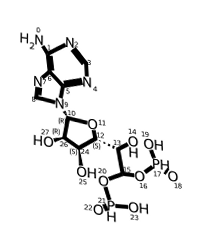 Nc1ncnc2c1ncn2[C@@H]1O[C@H](C(O)C(O[PH](=O)O)O[PH](=O)O)[C@@H](O)[C@H]1O